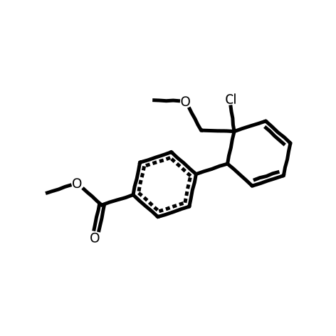 COCC1(Cl)C=CC=CC1c1ccc(C(=O)OC)cc1